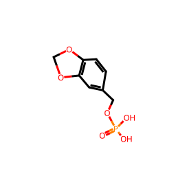 O=P(O)(O)OCc1ccc2c(c1)OCO2